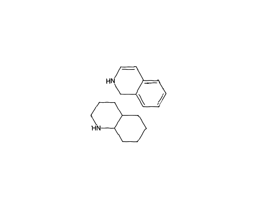 C1=Cc2ccccc2CN1.C1CCC2NCCCC2C1